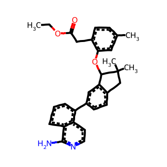 CCOC(=O)Cc1ccc(C)cc1OC1c2cc(-c3cccc4c(N)nccc34)ccc2CC1(C)C